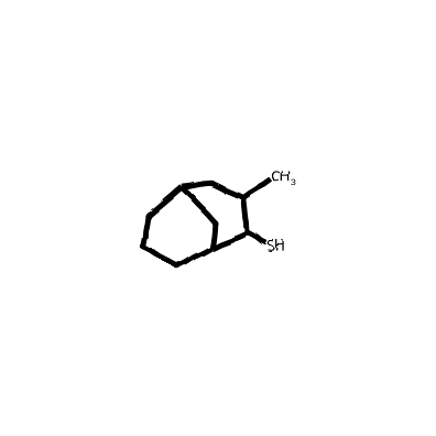 CC1CC2CCCC(C2)C1S